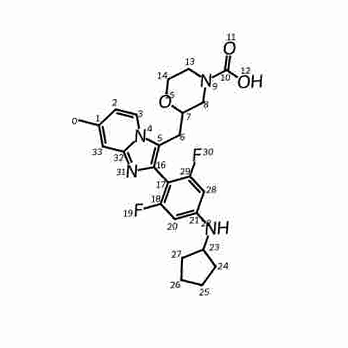 Cc1ccn2c(CC3CN(C(=O)O)CCO3)c(-c3c(F)cc(NC4CCCC4)cc3F)nc2c1